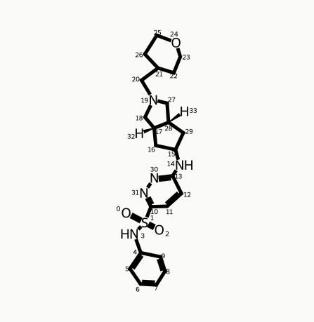 O=S(=O)(Nc1ccccc1)c1ccc(NC2C[C@@H]3CN(CC4CCOCC4)C[C@@H]3C2)nn1